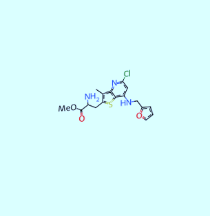 COC(=O)C(N)Cc1sc2c(NCc3ccco3)cc(Cl)nc2c1C